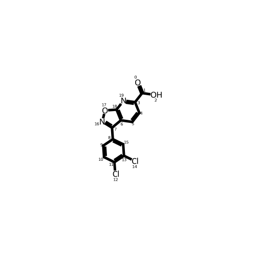 O=C(O)c1ccc2c(-c3ccc(Cl)c(Cl)c3)noc2n1